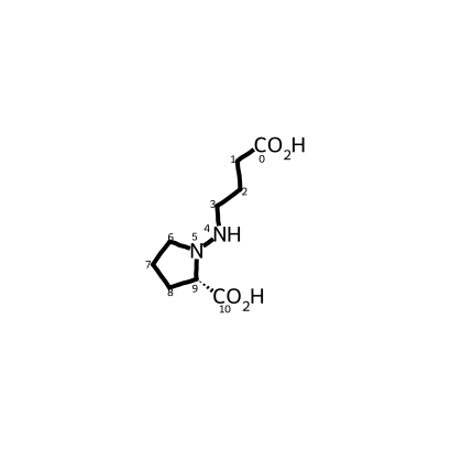 O=C(O)CCCNN1CCC[C@H]1C(=O)O